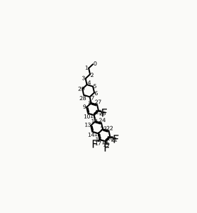 CCCCC1CCC(c2ccc(-c3ccc4c(F)c(F)c(F)cc4c3)c(F)c2)CC1